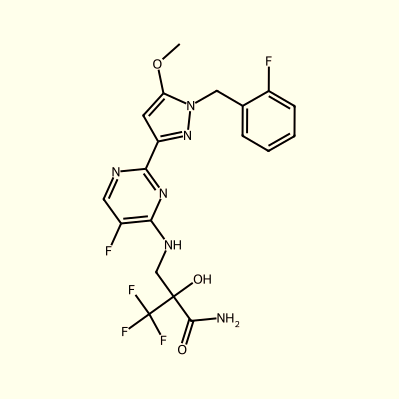 COc1cc(-c2ncc(F)c(NCC(O)(C(N)=O)C(F)(F)F)n2)nn1Cc1ccccc1F